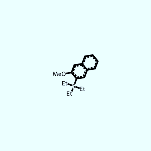 CCS(CC)(CC)c1cc2ccccc2cc1OC